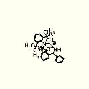 CC(C)(C)c1cccc(C(C)(C)C)c1N(CS(=O)(=O)NC(c1ccccc1)c1ccccc1)C(=O)O